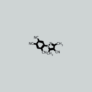 Cc1nn(-c2cc(C#N)c(C#N)cc2C#N)c(C)c1C#N